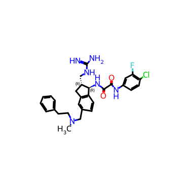 CN(CCc1ccccc1)Cc1ccc2c(c1)C[C@H](CNC(=N)N)[C@H]2NC(=O)C(=O)Nc1ccc(Cl)c(F)c1